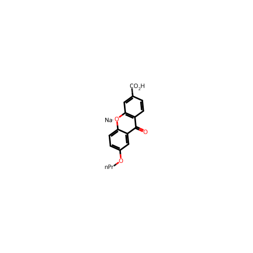 CCCOc1ccc2oc3cc(C(=O)O)ccc3c(=O)c2c1.[Na]